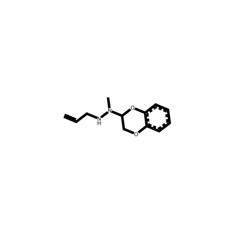 C=CCNN(C)C1COc2ccccc2O1